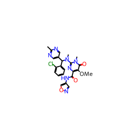 COc1c(C(=O)Nc2cnoc2)nc(N(C)C(c2cnc(C)nc2)c2ccccc2Cl)n(C)c1=O